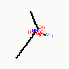 CCCCCCCC/C=C/C=C/[C@@H](O)[C@H](COP(=O)(O)OCCN)NC(=O)C(O)CCCCCCCCCCCCCCCCCCCC